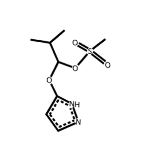 CC(C)C(Oc1ccn[nH]1)OS(C)(=O)=O